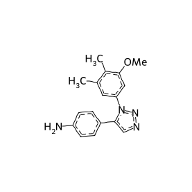 COc1cc(-n2nncc2-c2ccc(N)cc2)cc(C)c1C